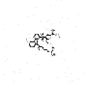 CSc1sc(C(=N)N)cc1S(=O)(=O)c1cccc(-c2c(C)cccc2NC(=O)CCCCC(=O)O)c1